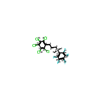 C[Si](C)(CCCc1c(Cl)c(Cl)c(Cl)c(Cl)c1Cl)c1c(F)c(F)c(F)c(F)c1F